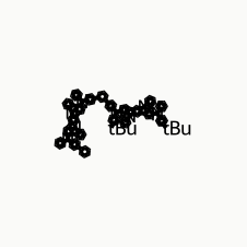 CC(C)(C)c1ccc(N(c2ccccc2)c2ccc3c4cc5c(cc4n4c6ccccc6c2c34)c2ccc(N(c3ccc(C4CCCC(c6ccc(N(c7ccccc7)c7ccc8c9cc%10c(cc9n9c%11ccccc%11c7c89)c7ccc(N(c8ccccc8)c8ccc(C9CCCCC9)cc8)c8c9ccccc9n%10c78)cc6)C4)cc3)c3ccc(C(C)(C)C)cc3)c3c4ccccc4n5c23)cc1